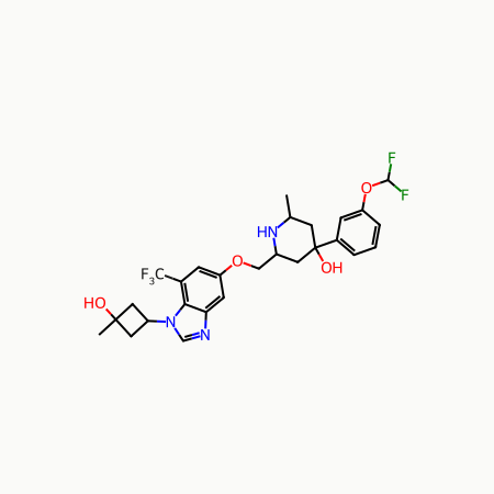 CC1CC(O)(c2cccc(OC(F)F)c2)CC(COc2cc(C(F)(F)F)c3c(c2)ncn3C2CC(C)(O)C2)N1